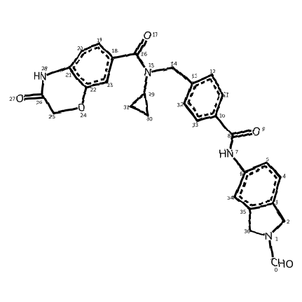 O=CN1Cc2ccc(NC(=O)c3ccc(CN(C(=O)c4ccc5c(c4)OCC(=O)N5)C4CC4)cc3)cc2C1